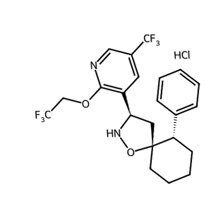 Cl.FC(F)(F)COc1ncc(C(F)(F)F)cc1[C@H]1C[C@@]2(CCCC[C@H]2c2ccccc2)ON1